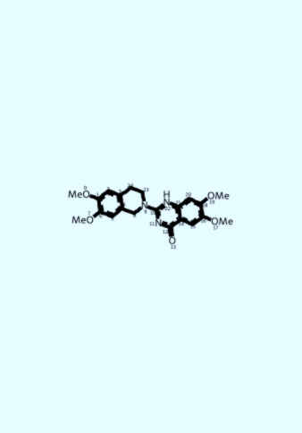 COc1cc2c(cc1OC)CN(c1nc(=O)c3cc(OC)c(OC)cc3[nH]1)CC2